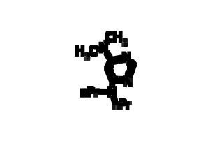 CCCN(CCC)c1cc(N(C)C)ncn1